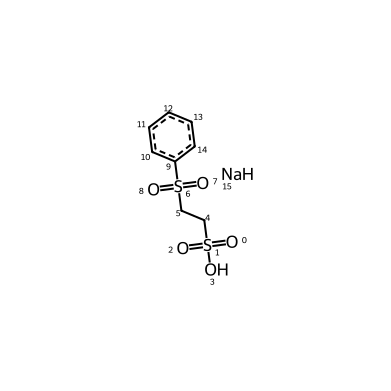 O=S(=O)(O)CCS(=O)(=O)c1ccccc1.[NaH]